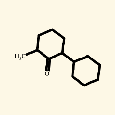 CC1CCCC(C2CCCCC2)C1=O